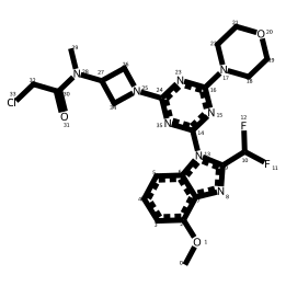 COc1cccc2c1nc(C(F)F)n2-c1nc(N2CCOCC2)nc(N2CC(N(C)C(=O)CCl)C2)n1